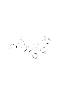 C=CC(=O)N1C[C@@H](O)C[C@@H](NC(=O)c2sc3nccc4c3c2NC(=O)N4c2cccc(-c3cccc(F)c3F)c2)C1